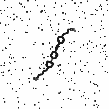 CCCCCc1ccc([C@H]2CC[C@H](C#Cc3ccc(CCCC)cc3)CC2)cc1